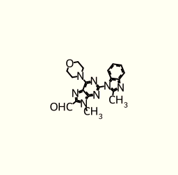 Cc1nc2ccccc2n1-c1nc(N2CCOCC2)c2nc(C=O)n(C)c2n1